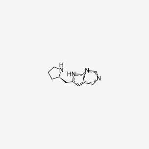 c1ncc2cc(C[C@H]3CCCN3)[nH]c2n1